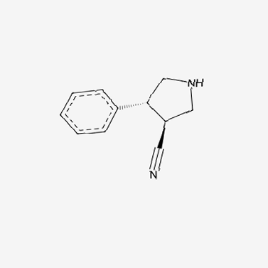 N#C[C@@H]1CNC[C@H]1c1ccccc1